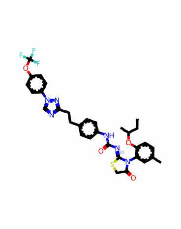 CCC(C)Oc1ccc(C)cc1N1C(=O)CS/C1=N\C(=O)Nc1ccc(CCc2ncn(-c3ccc(OC(F)(F)F)cc3)n2)cc1